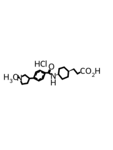 CN1CCC(c2ccc(C(=O)N[C@H]3CC[C@H](CCC(=O)O)CC3)cc2)C1.Cl